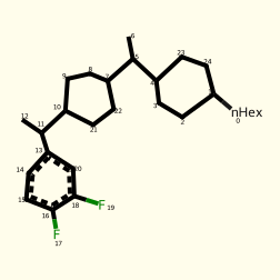 CCCCCCC1CCC(C(C)C2CCC(C(C)c3ccc(F)c(F)c3)CC2)CC1